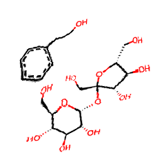 OCCc1ccccc1.OC[C@H]1O[C@@](CO)(O[C@H]2O[C@H](CO)[C@@H](O)[C@H](O)[C@H]2O)[C@@H](O)[C@@H]1O